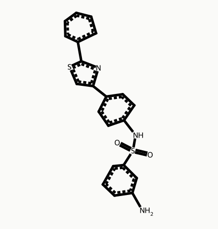 Nc1cccc(S(=O)(=O)Nc2ccc(-c3csc(-c4ccccc4)n3)cc2)c1